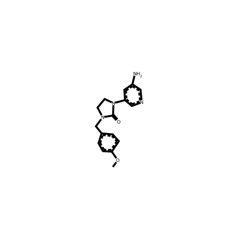 COc1ccc(CN2CCN(c3cncc(N)c3)C2=O)cc1